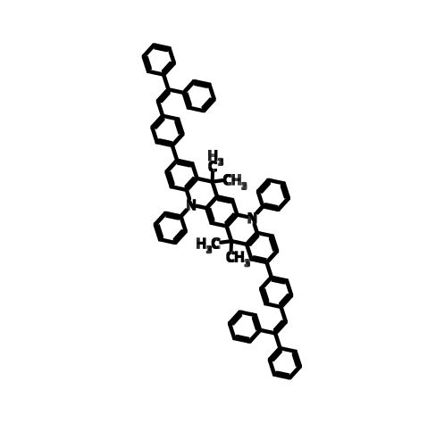 CC1(C)c2cc(-c3ccc(C=C(c4ccccc4)c4ccccc4)cc3)ccc2N(c2ccccc2)c2cc3c(cc21)N(c1ccccc1)c1ccc(-c2ccc(C=C(c4ccccc4)c4ccccc4)cc2)cc1C3(C)C